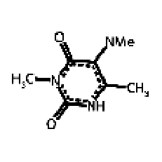 CNc1c(C)[nH]c(=O)n(C)c1=O